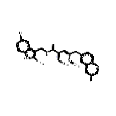 C=N/C(=C\C(=C/C)C(=O)NCc1c(C)[nH]c2ccc(Cl)cc12)Cc1ccc2ncc(Cl)cc2c1